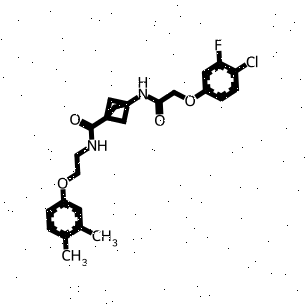 Cc1ccc(OCCNC(=O)C23CC(NC(=O)COc4ccc(Cl)c(F)c4)(C2)C3)cc1C